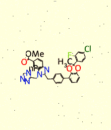 CCCn1cnnc1Cn1c(Cc2ccc(-c3cccc4c3OC(C)(c3ccc(Cl)cc3F)O4)cc2)nc2ccc(C(=O)OC)cc21